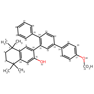 CC1(C)CCC(C)(C)c2cc(-c3cc(-c4ccc(OC(=O)O)cc4)ccc3-c3ccccc3)c(O)cc21